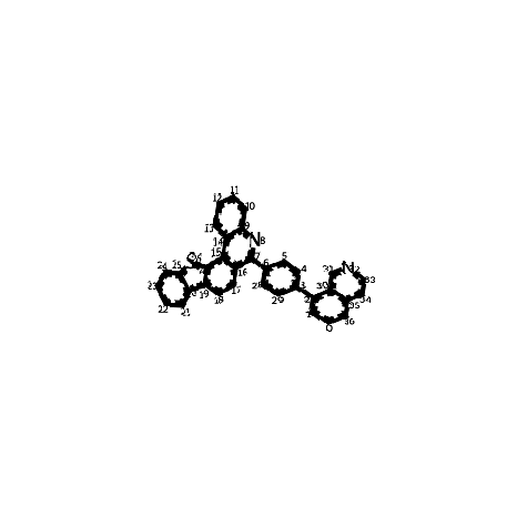 c1cc(-c2ccc(-c3nc4ccccc4c4c3ccc3c5ccccc5sc34)cc2)c2cnccc2c1